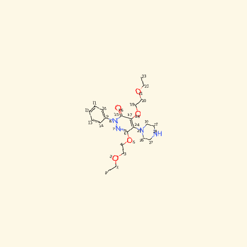 CCOCCOc1nn(-c2ccccc2)c(=O)c(OCCOCC)c1N1CCNCC1